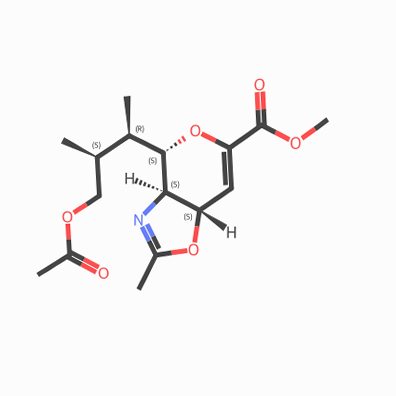 COC(=O)C1=C[C@@H]2OC(C)=N[C@H]2[C@H]([C@H](C)[C@H](C)COC(C)=O)O1